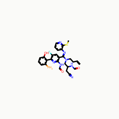 C=CCCN(CC(CC#N)NC=O)/C(=N/c1cccnc1SC)c1cc(F)c(-c2c(O)cccc2P)nc1NC=O